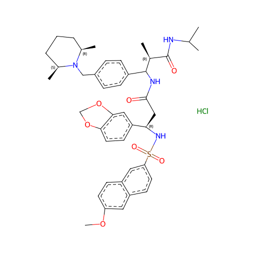 COc1ccc2cc(S(=O)(=O)N[C@H](CC(=O)NC(c3ccc(CN4[C@H](C)CCC[C@@H]4C)cc3)[C@@H](C)C(=O)NC(C)C)c3ccc4c(c3)OCO4)ccc2c1.Cl